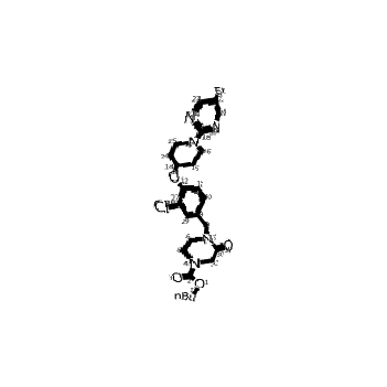 CCCCOC(=O)N1CCN(Cc2ccc(OC3CCN(c4ncc(CC)cn4)CC3)c(Cl)c2)C(=O)C1